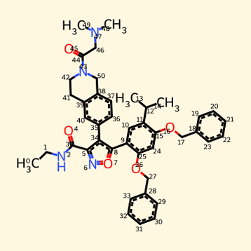 CCNC(=O)c1noc(-c2cc(C(C)C)c(OCc3ccccc3)cc2OCc2ccccc2)c1-c1ccc2c(c1)CCN(C(=O)CN(C)C)C2